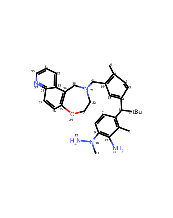 Cc1ccc(C(c2ccc(N(C)N)c(N)c2C)C(C)(C)C)cc1CN1CCOc2ccc3ncccc3c2C1